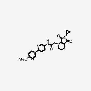 COc1ccc(-c2ccc(NC(=O)CN3CCCC4=C3C(=O)N(C3CC3)C4=O)cn2)cn1